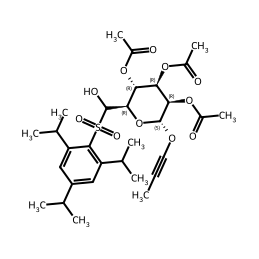 CC#CO[C@@H]1O[C@@H](C(O)S(=O)(=O)c2c(C(C)C)cc(C(C)C)cc2C(C)C)[C@H](OC(C)=O)[C@@H](OC(C)=O)[C@H]1OC(C)=O